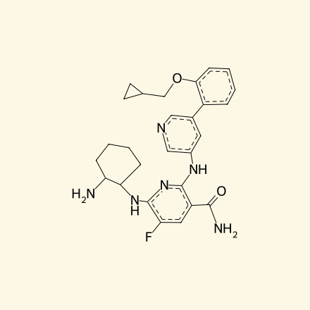 NC(=O)c1cc(F)c(NC2CCCCC2N)nc1Nc1cncc(-c2ccccc2OCC2CC2)c1